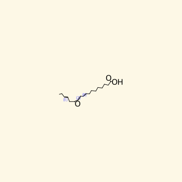 CC/C=C/CC1O/C1=C\C=C\CCCCCCCC(=O)O